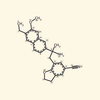 CCc1cc2ccc(C(C)(N)Cc3cc(C#N)cc4c3OCC4)cc2nc1OC